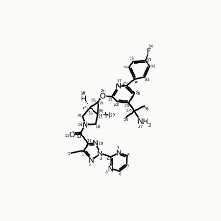 Cc1nn(-c2ncccn2)nc1C(=O)N1C[C@@H]2[C@H](C1)[C@@H]2Oc1cc(C(C)(C)N)cc(-c2ccc(F)cc2)n1